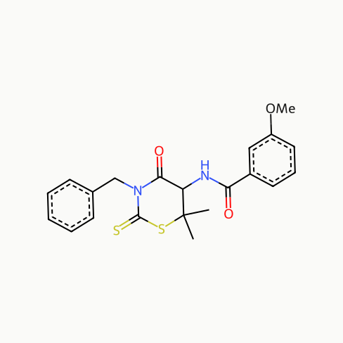 COc1cccc(C(=O)NC2C(=O)N(Cc3ccccc3)C(=S)SC2(C)C)c1